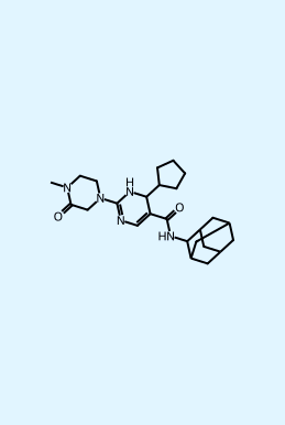 CN1CCN(C2=NC=C(C(=O)NC3C4CC5CC(C4)CC3C5)C(C3CCCC3)N2)CC1=O